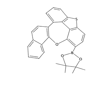 CC1(C)OB(c2ccc3sc4cccc5c6ccc7ccccc7c6oc2c3c45)OC1(C)C